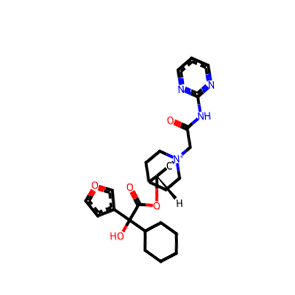 O=C(C[N+]12CCC(CC1)[C@@H](OC(=O)C(O)(c1ccoc1)C1CCCCC1)C2)Nc1ncccn1